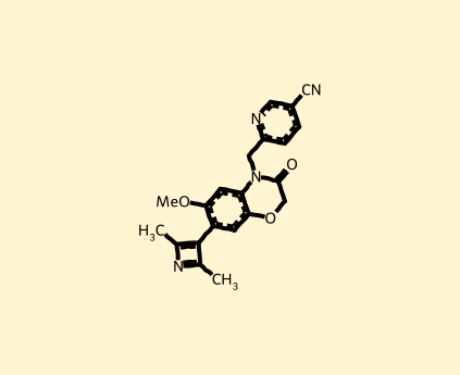 COc1cc2c(cc1C1=C(C)N=C1C)OCC(=O)N2Cc1ccc(C#N)cn1